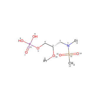 CCN(C[C@@H](COP(=O)(O)O)OC(C)C)S(C)(=O)=O